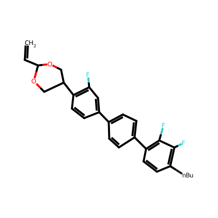 C=CC1OCC(c2ccc(-c3ccc(-c4ccc(CCCC)c(F)c4F)cc3)cc2F)CO1